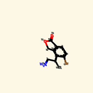 CCC(CN)c1c(Br)ccc2c1COC2=O